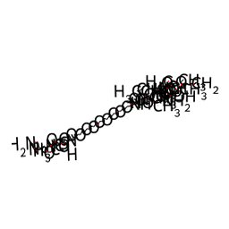 C=C/C=C/C=C(\C)[C@H](C[C@@H]1CC[C@@H](C)[C@](O)(C(=O)C(=O)N2CCCC[C@H]2C(=O)O[C@@H](C[C@@H](O)[C@H](C)/C=C(\C)[C@@H](O)[C@@H](O)/C(=N/OCC(=O)NCCOCCOCCOCCOCCOCCOCCOCCOCCC(=O)NCCS(=O)(=O)c2ccc(C(=O)N3CCOc4ccc(-c5ccc(N)nc5)cc4C3)c(C)c2)[C@H](C)CC(C)C)[C@H](N)C[C@@H]2CC[C@@H](O)[C@H](OC)C2)O1)OC